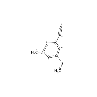 CSc1cc(C)cc(C#N)c1